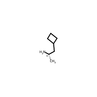 C[C@H](N)CC1CCC1